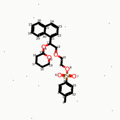 Cc1ccc(S(=O)(=O)OCCOCC(OC2CCCCO2)c2cccc3ccccc23)cc1